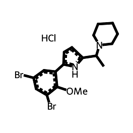 COc1c(Br)cc(Br)cc1-c1ccc(C(C)N2CCCCC2)[nH]1.Cl